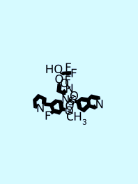 COc1cc(F)c(-c2ccccn2)cc1N(c1ccon1)S(=O)(=O)c1ccc2cnccc2c1.O=C(O)C(F)(F)F